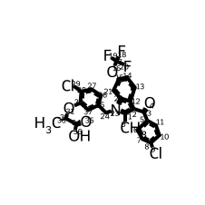 Cc1c(C(=O)c2ccc(Cl)cc2)c2ccc(OC(F)(F)F)cc2n1Cc1ccc(Cl)c(O[C@H](C)C(=O)O)c1